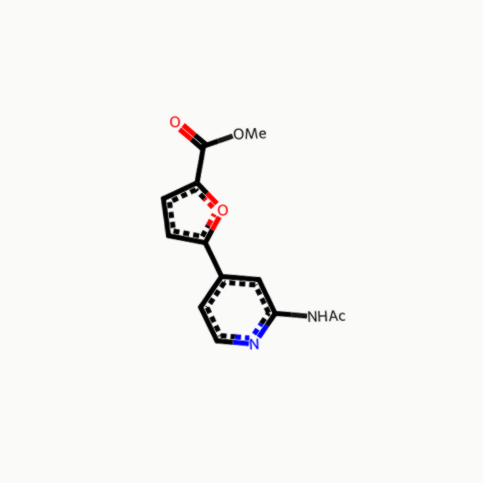 COC(=O)c1ccc(-c2ccnc(NC(C)=O)c2)o1